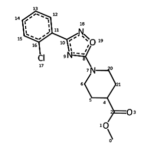 COC(=O)C1CCN(c2nc(-c3ccccc3Cl)no2)CC1